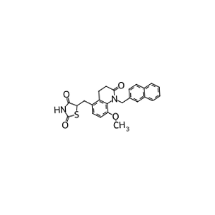 COc1ccc(CC2SC(=O)NC2=O)c2c1N(Cc1ccc3ccccc3c1)C(=O)CC2